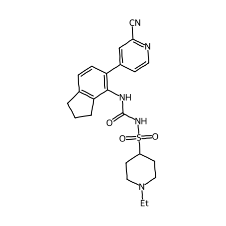 CCN1CCC(S(=O)(=O)NC(=O)Nc2c(-c3ccnc(C#N)c3)ccc3c2CCC3)CC1